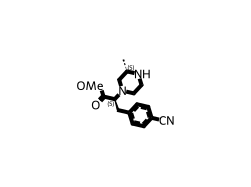 COC(=O)[C@H](Cc1ccc(C#N)cc1)N1CCN[C@@H](C)C1